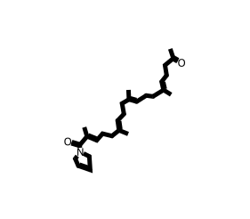 CC(=O)CCC=C(C)CCC=C(C)CCC=C(C)CCC=C(C)C(=O)N1CC=CC1